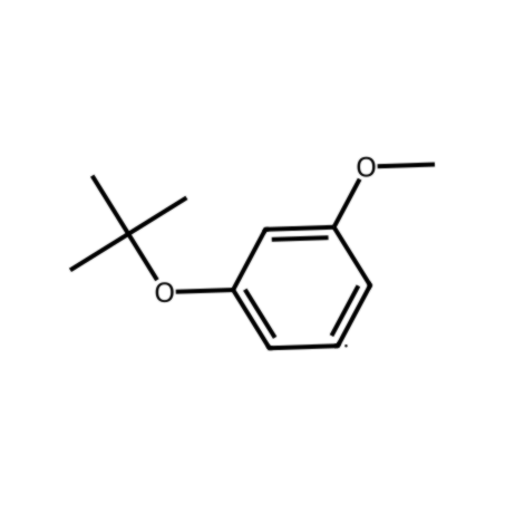 COc1c[c]cc(OC(C)(C)C)c1